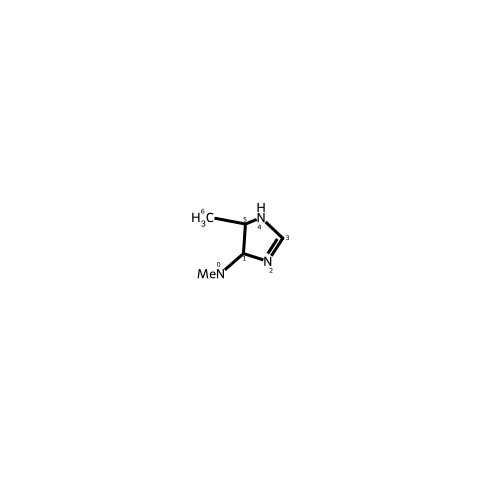 CNC1N=CNC1C